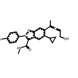 CNC(=O)c1c2cc(C3CC3)c(C(C)=C=CCO)cc2nn1-c1ccc(Br)cc1